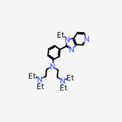 CCN(CC)CCN(CCN(CC)CC)c1cccc(-c2nc3cnccc3n2CC)c1